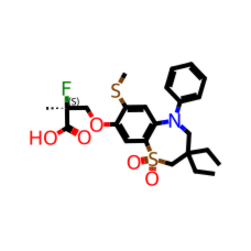 CCC1(CC)CN(c2ccccc2)c2cc(SC)c(OC[C@](C)(F)C(=O)O)cc2S(=O)(=O)C1